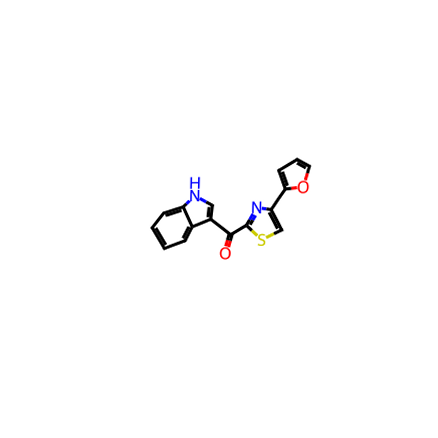 O=C(c1nc(-c2ccco2)cs1)c1c[nH]c2ccccc12